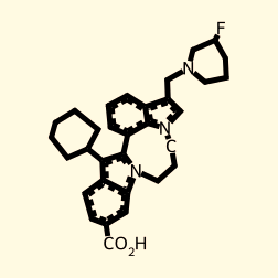 O=C(O)c1ccc2c(C3CCCCC3)c3n(c2c1)CCCn1cc(CN2CCCC(F)C2)c2cccc-3c21